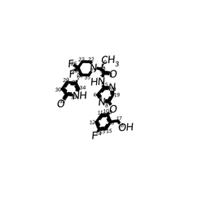 C[C@@H](C(=O)Nc1cnc(Oc2ccc(F)cc2CO)cn1)N1CCC(F)(F)[C@@H](c2ccc(=O)[nH]c2)C1